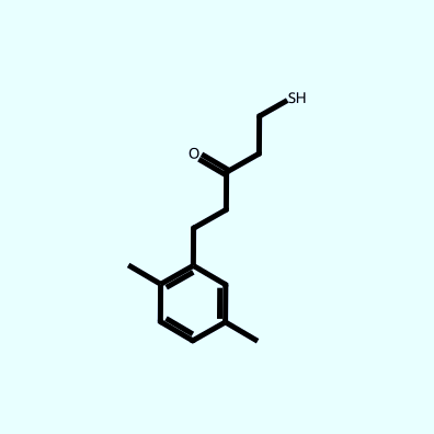 Cc1ccc(C)c(CCC(=O)CCS)c1